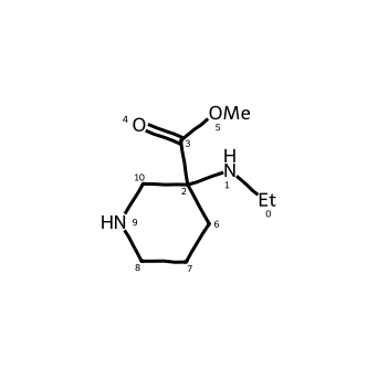 CCNC1(C(=O)OC)CCCNC1